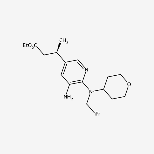 CCOC(=O)C[C@@H](C)c1cnc(N(CC(C)C)C2CCOCC2)c(N)c1